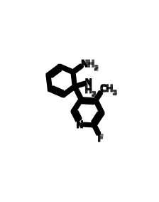 Cc1cc(F)ncc1C1(N)C=CC=CC1N